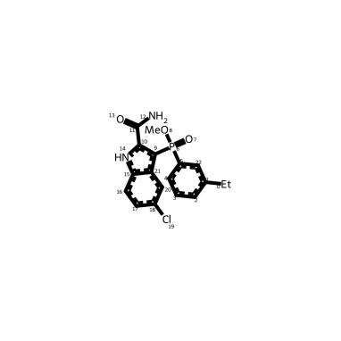 CCc1cccc(P(=O)(OC)c2c(C(N)=O)[nH]c3ccc(Cl)cc23)c1